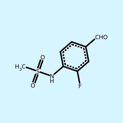 CS(=O)(=O)Nc1ccc(C=O)cc1F